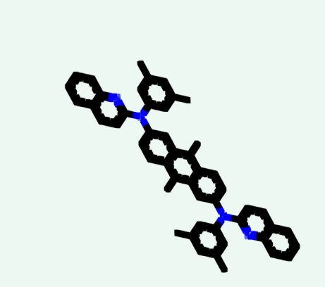 Cc1cc(C)cc(N(c2ccc3c(C)c4cc(N(c5cc(C)cc(C)c5)c5ccc6ccccc6n5)ccc4c(C)c3c2)c2ccc3ccccc3n2)c1